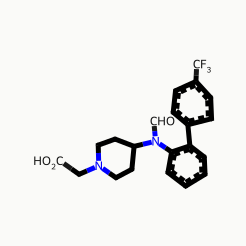 O=CN(c1ccccc1-c1ccc(C(F)(F)F)cc1)C1CCN(CC(=O)O)CC1